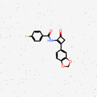 O=C1CC(c2ccc3c(c2)OCO3)=C1NC(=O)c1ccc(F)cc1